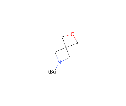 CC(C)(C)N1CC2(COC2)C1